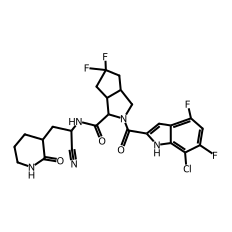 N#CC(CC1CCCNC1=O)NC(=O)C1C2CC(F)(F)CC2CN1C(=O)c1cc2c(F)cc(F)c(Cl)c2[nH]1